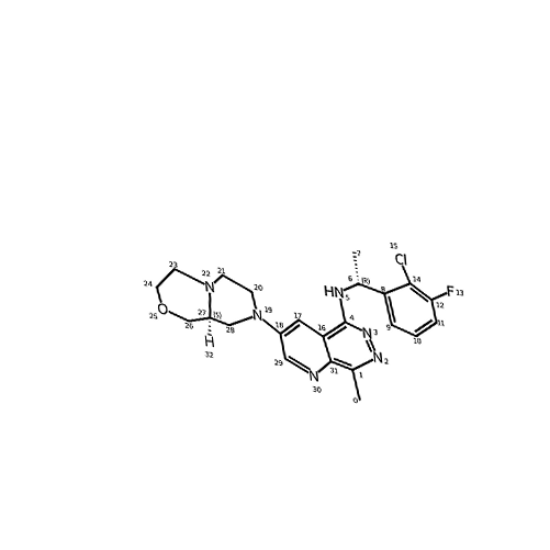 Cc1nnc(N[C@H](C)c2cccc(F)c2Cl)c2cc(N3CCN4CCOC[C@@H]4C3)cnc12